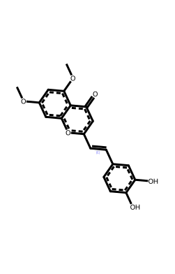 COc1cc(OC)c2c(=O)cc(/C=C/c3ccc(O)c(O)c3)oc2c1